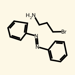 NCCCBr.c1ccc(N=Nc2ccccc2)cc1